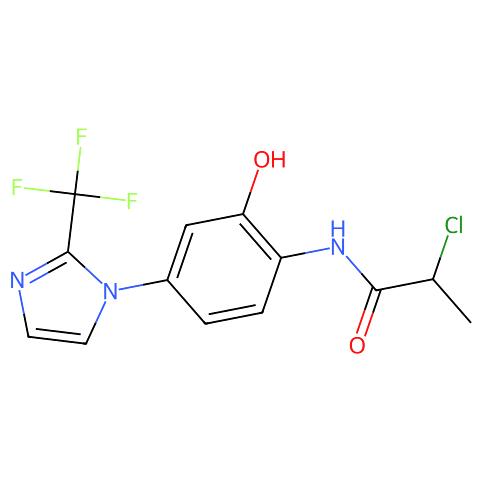 CC(Cl)C(=O)Nc1ccc(-n2ccnc2C(F)(F)F)cc1O